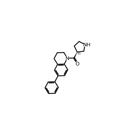 O=C([C@H]1CCNC1)N1CCCc2cc(-c3ccccc3)ccc21